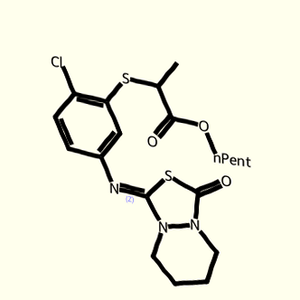 CCCCCOC(=O)C(C)Sc1cc(/N=c2\sc(=O)n3n2CCCC3)ccc1Cl